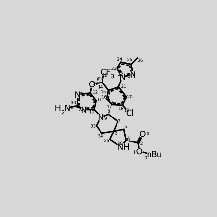 CCCCOC(=O)[C@@H]1CC2(CCN(c3cc(O[C@H](c4ccc(Cl)cc4-n4ccc(C)n4)C(F)(F)F)nc(N)n3)CC2)CN1